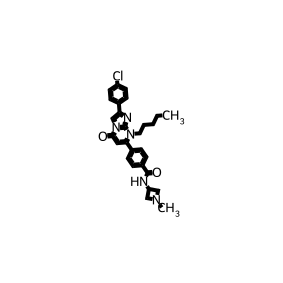 CCCCCn1c(-c2ccc(C(=O)NC3CN(C)C3)cc2)cc(=O)n2cc(-c3ccc(Cl)cc3)nc12